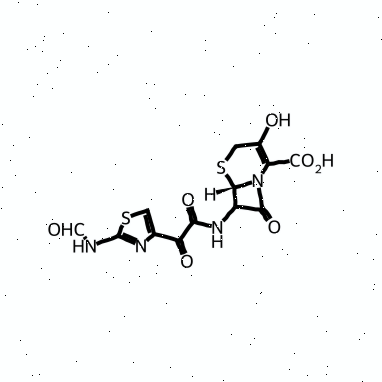 O=CNc1nc(C(=O)C(=O)NC2C(=O)N3C(C(=O)O)=C(O)CS[C@@H]23)cs1